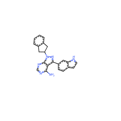 Nc1ncnc2c1c(-c1ccc3cc[nH]c3c1)nn2C1Cc2ccccc2C1